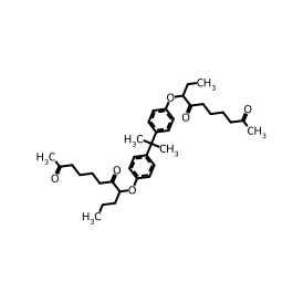 CCCC(Oc1ccc(C(C)(C)c2ccc(OC(CC)C(=O)CCCCC(C)=O)cc2)cc1)C(=O)CCCCC(C)=O